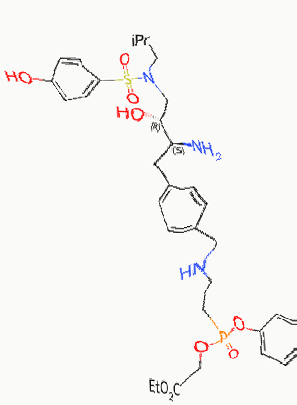 CCOC(=O)COP(=O)(CCNCc1ccc(C[C@H](N)[C@H](O)CN(CC(C)C)S(=O)(=O)c2ccc(O)cc2)cc1)Oc1ccccc1